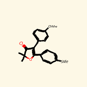 COc1ccc(C2=C(c3ccc(SC)cc3)OC(C)(C)C2=O)cc1